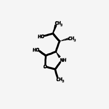 CC1N[C@@H]([C@@H](C)[C@H](C)O)C(O)O1